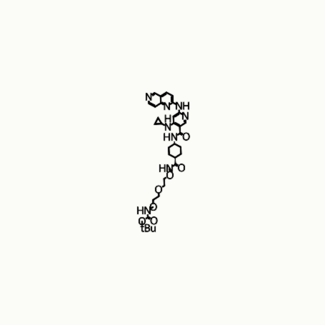 CC(C)(C)OC(=O)NOCCOCCONC(=O)[C@H]1CC[C@H](NC(=O)c2cnc(Nc3ccc4cnccc4n3)cc2NC2CC2)CC1